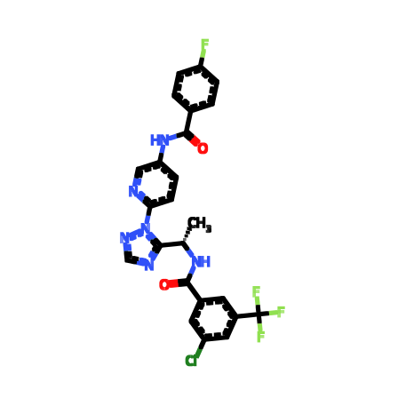 C[C@H](NC(=O)c1cc(Cl)cc(C(F)(F)F)c1)c1ncnn1-c1ccc(NC(=O)c2ccc(F)cc2)cn1